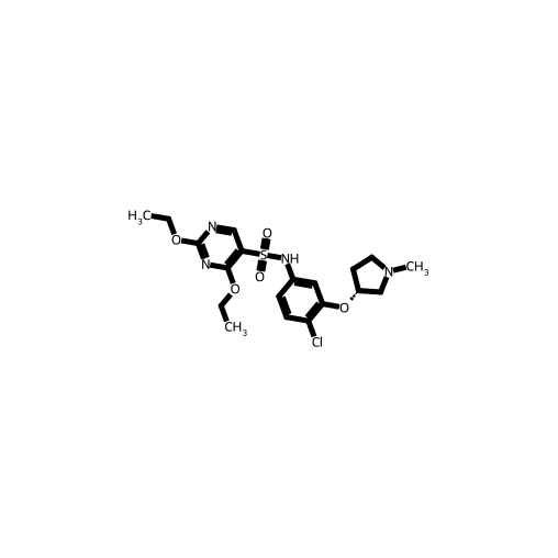 CCOc1ncc(S(=O)(=O)Nc2ccc(Cl)c(O[C@@H]3CCN(C)C3)c2)c(OCC)n1